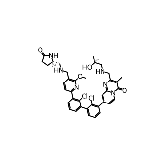 COc1nc(-c2cccc(-c3cccc(-c4ccn5c(=O)c(C)c(CNC[C@H](C)O)nc5c4)c3Cl)c2Cl)ccc1CNC[C@@H]1CCC(=O)N1